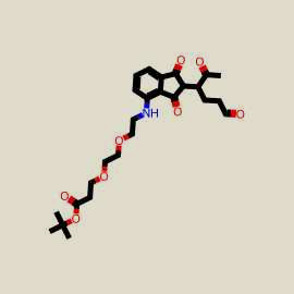 CC(=O)C(CCC=O)C1C(=O)c2cccc(NCCOCCOCCC(=O)OC(C)(C)C)c2C1=O